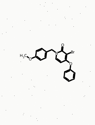 COc1ccc(Cn2ccc(Oc3ccccc3)c(Br)c2=O)cc1